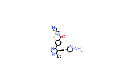 CCc1ncnc(-c2ccc(C(=O)N3CC4(CN(C)C4)C3)c(F)c2)c1C#Cc1ccc(N)nc1